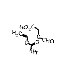 C=COC(=O)CCC.O=COCC(=O)O